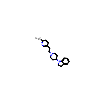 COc1ccc(CCN2CCC(N3CCc4ccccc43)CC2)cn1